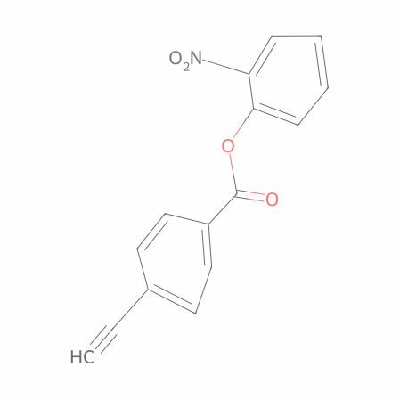 C#Cc1ccc(C(=O)Oc2ccccc2[N+](=O)[O-])cc1